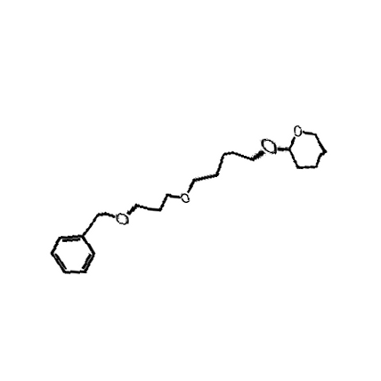 c1ccc(COCCCOCCCCOC2CCCCO2)cc1